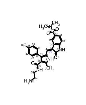 Cc1[nH]c(/C=C2\C(=O)Nc3ccc(S(=O)(=O)N(C)C)cc32)c(-c2ccc(F)cc2)c1C(=O)NCCN